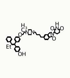 CC/C(=C(\c1ccc(O)cc1)c1ccc(OCC(C)N2CCN(CCCCc3ccc4c(c3)CN(C3CCC(=O)NC3=O)C4=O)CC2)cc1)c1ccccc1